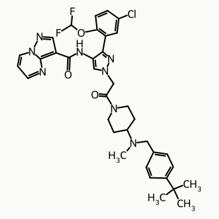 CN(Cc1ccc(C(C)(C)C)cc1)C1CCN(C(=O)Cn2cc(NC(=O)c3cnn4cccnc34)c(-c3cc(Cl)ccc3OC(F)F)n2)CC1